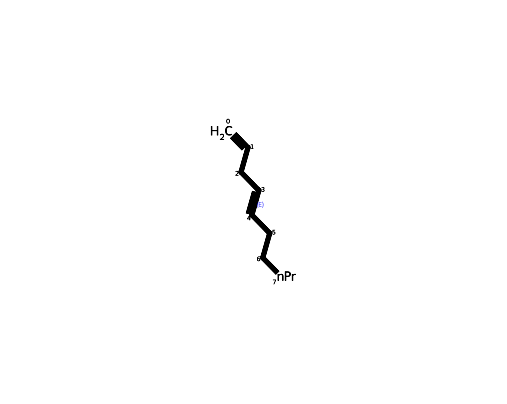 C=CC/[C]=C/CCCCC